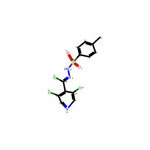 Cc1ccc(S(=O)(=O)NN=C(Cl)c2c(Cl)cncc2Cl)cc1